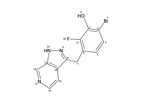 Oc1c(Br)ccc(Cc2n[nH]c3cnccc23)c1F